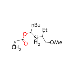 C=CC(=O)OC(CCCC)[SiH2]C(CC)COC